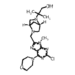 Cn1c(CN2C[C@@H]3C[C@H]2CN3C(C)(C)CO)nc2c(N3CCOCC3)nc(Cl)nc21